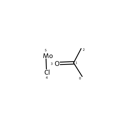 CC(C)=O.[Cl][Mo]